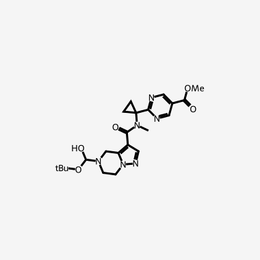 COC(=O)c1cnc(C2(N(C)C(=O)c3cnn4c3CN(C(O)OC(C)(C)C)CC4)CC2)nc1